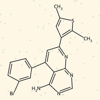 Cc1cc(-c2cc(-c3cccc(Br)c3)c3c(N)ncnc3n2)c(C)s1